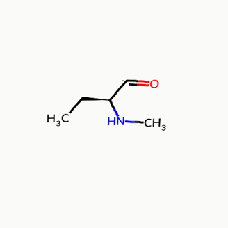 CC[C@@H]([C]=O)NC